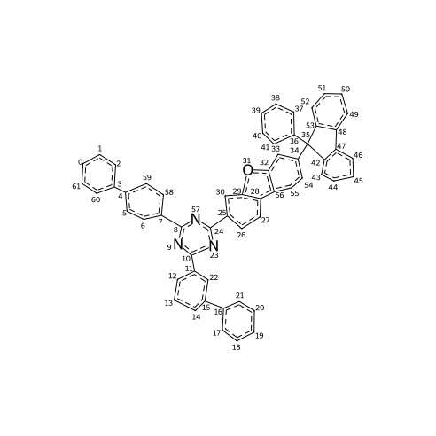 c1ccc(-c2ccc(-c3nc(-c4cccc(-c5ccccc5)c4)nc(-c4ccc5c(c4)oc4cc(C6(c7ccccc7)c7ccccc7-c7ccccc76)ccc45)n3)cc2)cc1